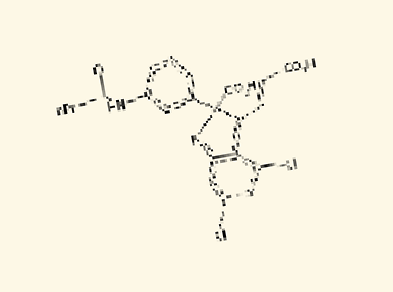 CCCC(=O)Nc1cccc(C2(C(=O)O)N=c3cc(Cl)cc(Cl)c3=C2C=CC(=O)O)c1